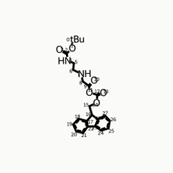 CC(C)(C)OC(=O)NCCNCC(=O)OC(=O)OCC1c2ccccc2-c2ccccc21